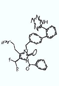 CC(C)CCc1c(C(F)F)n(C(=O)c2ccccc2)c(=O)n1Cc1ccc(-c2ccccc2-c2nnn[nH]2)cc1